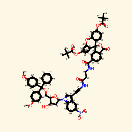 COc1ccc(C(OCC2OC(n3cc(C#CNC(=O)CCNC(=O)c4ccc5c(c4)C4(OC5=O)c5ccc(OC(=O)C(C)(C)C)cc5Oc5cc(OC(=O)C(C)(C)C)ccc54)c4cc([N+](=O)[O-])ccc43)CC2O)(c2ccccc2)c2ccc(OC)cc2)cc1